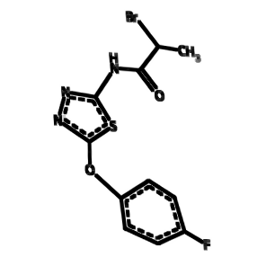 CC(Br)C(=O)Nc1nnc(Oc2ccc(F)cc2)s1